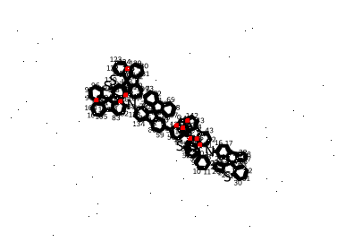 c1ccc(-c2ccc(-c3ccccc3N(c3ccc4c(c3)C3(c5ccccc5Sc5ccccc53)c3ccccc3-4)c3ccc4c(c3)C3(c5ccccc5Sc5cc(-c6ccc7c(c6)C6(c8ccccc8-c8ccccc86)c6cc(N(c8ccc9c(c8)C8(c%10ccccc%10Sc%10ccccc%108)c8ccccc8-9)c8ccc9c(c8)C8(c%10ccccc%10Sc%10ccccc%108)c8ccccc8-9)ccc6-7)ccc53)c3ccccc3-4)cc2)cc1